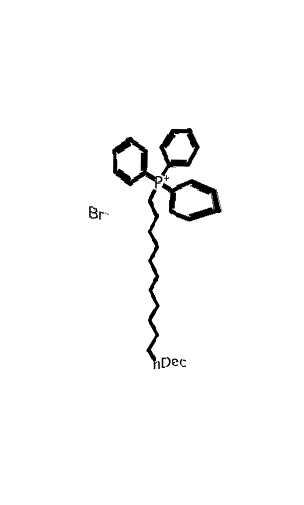 CCCCCCCCCCCCCCCCCCCCC[P+](c1ccccc1)(c1ccccc1)c1ccccc1.[Br-]